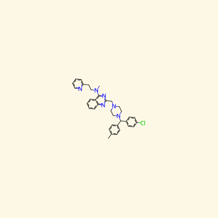 Cc1ccc(C(c2ccc(Cl)cc2)N2CCN(Cc3nc(N(C)CCc4ccccn4)c4ccccc4n3)CC2)cc1